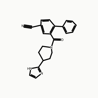 N#Cc1ccc(-c2ccccc2)c(C(=O)N2CCC(c3ncc[nH]3)CC2)c1